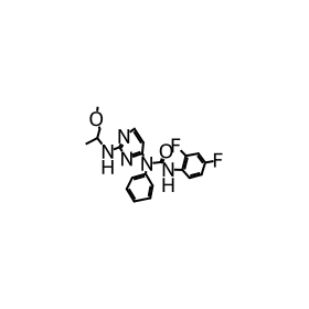 COCC(C)Nc1nccc(N(C(=O)Nc2ccc(F)cc2F)c2ccccc2)n1